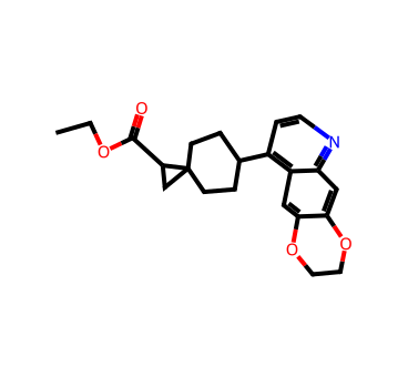 CCOC(=O)C1CC12CCC(c1ccnc3cc4c(cc13)OCCO4)CC2